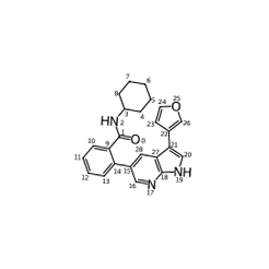 O=C(NC1CCCCC1)c1ccccc1-c1cnc2[nH]cc(-c3ccoc3)c2c1